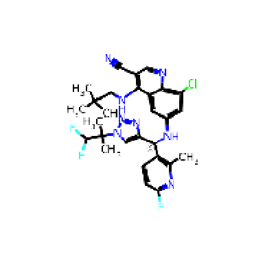 Cc1nc(F)ccc1[C@H](Nc1cc(Cl)c2ncc(C#N)c(NCC(C)(C)C)c2c1)c1cn(C(C)(C)C(F)F)nn1